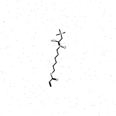 C=CC(=O)OCCCCCC/[P+]([O-])=C(\O)C[N+](C)(C)C